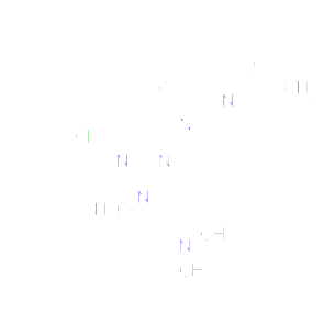 C=CC(=O)N1CCN(c2nc(N(C)CCN(C)C)nc3cc(-c4cccc5cccc(Cl)c45)c4c(c23)OCCC4)CC1